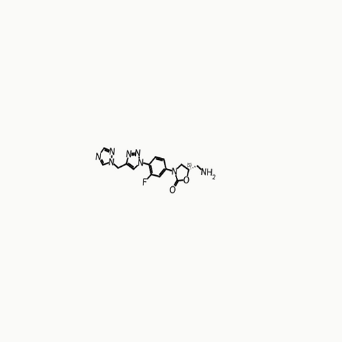 NC[C@H]1CN(c2ccc(-n3cc(Cn4cncn4)nn3)c(F)c2)C(=O)O1